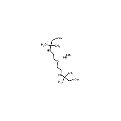 Br.Br.CCCCCCCCCCCC(C)(C)NCCOCCNC(C)(C)CCCCCCCCCCC